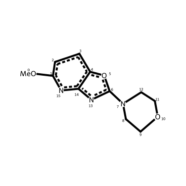 COc1ccc2oc(N3CCOCC3)nc2n1